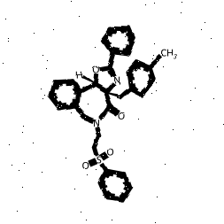 Cc1ccc(C[C@]23N=C(c4ccccc4)O[C@H]2c2ccccc2CN(CCS(=O)(=O)c2ccccc2)C3=O)cc1